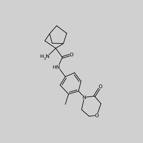 Cc1cc(NC(=O)C2(N)CC3CCC2C3)ccc1N1CCOCC1=O